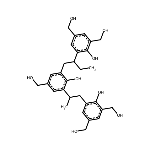 CCC(Cc1cc(CO)cc(C(C)Cc2cc(CO)cc(CO)c2O)c1O)c1cc(CO)cc(CO)c1O